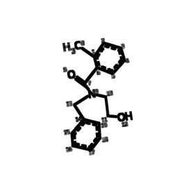 Cc1ccccc1C(=O)N(CCO)Cc1ccccc1